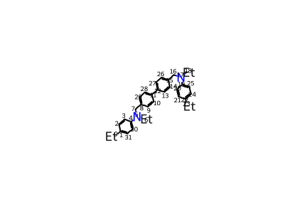 CCc1ccc(N(CC)Cc2ccc(-c3ccc(CN(CC)c4ccc(CC)cc4)cc3)cc2)cc1